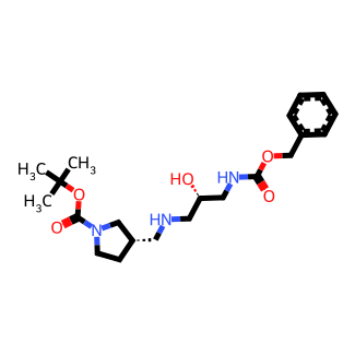 CC(C)(C)OC(=O)N1CC[C@@H](CNC[C@H](O)CNC(=O)OCc2ccccc2)C1